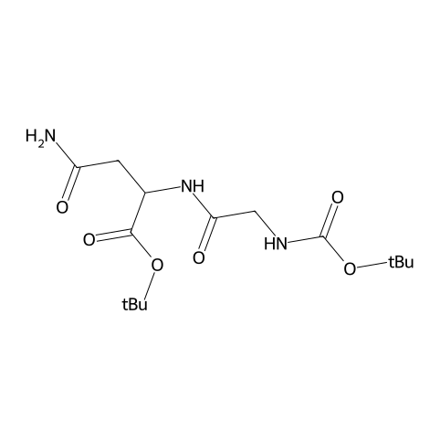 CC(C)(C)OC(=O)NCC(=O)NC(CC(N)=O)C(=O)OC(C)(C)C